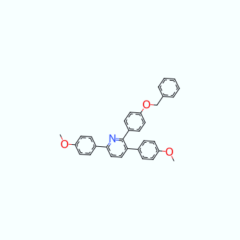 COc1ccc(-c2ccc(-c3ccc(OC)cc3)c(-c3ccc(OCc4ccccc4)cc3)n2)cc1